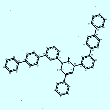 C1=C(c2ccccc2)NC(c2cccc(-c3ccc(-c4ccccc4)cc3)c2)NC1c1cccc(-c2ccc(-c3ccccc3)cc2)c1